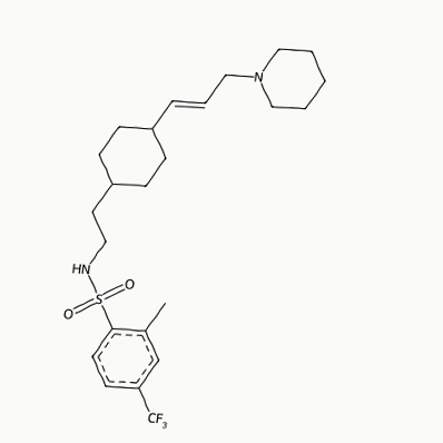 Cc1cc(C(F)(F)F)ccc1S(=O)(=O)NCCC1CCC(C=CCN2CCCCC2)CC1